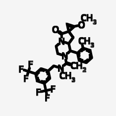 C=C(N(C)Cc1cc(C(F)(F)F)cc(C(F)(F)F)c1)N1CCN2C(=O)C3(C=C3OC)CC2C1c1ccccc1C